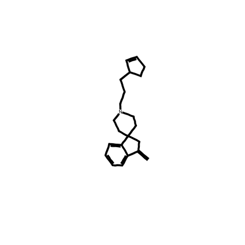 C=C1CC2(CCN(CCCC3C=CCC3)CC2)c2ccccc21